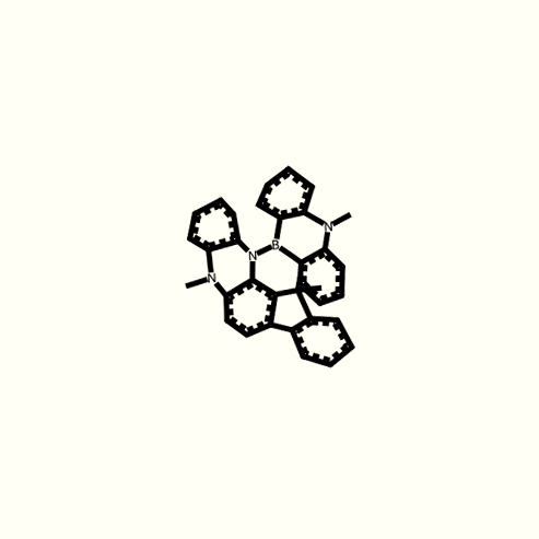 CN1c2ccccc2B(N2c3ccccc3N(C)c3ccc4c(c32)C(C)(C)c2ccccc2-4)c2ccccc21